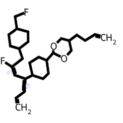 C=C/C=C(\C=C(\F)CC1CCC(CF)CC1)C1CCC(C2OCC(CCC=C)CO2)CC1